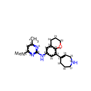 CNc1cc(C)nc(Nc2cc3c(c(C4=CCNCCC4)c2)OCCC3)n1